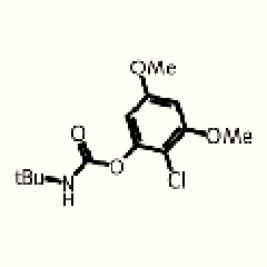 COc1cc(OC)c(Cl)c(OC(=O)NC(C)(C)C)c1